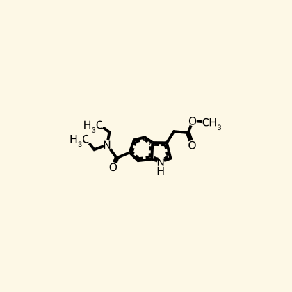 CCN(CC)C(=O)c1ccc2c(CC(=O)OC)c[nH]c2c1